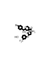 C[C@@H](c1ccc(Br)cc1)C1CC(C(N)=O)(N2CCC(Oc3cccc(C(F)(F)F)c3)C2)CCO1.Cl